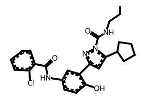 CCCNC(=O)n1nc(-c2cc(NC(=O)c3ccccc3Cl)ccc2O)cc1C1CCCC1